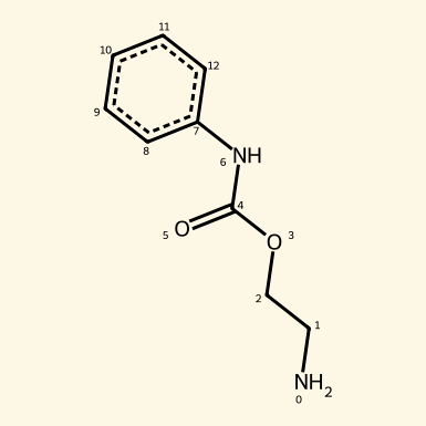 NCCOC(=O)Nc1ccccc1